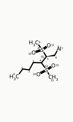 CCCCC([C@H]([CH2][Al])S(C)(=O)=O)S(C)(=O)=O